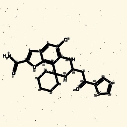 NC(=O)c1cc2cc(Cl)c3c(c2o1)C1(CCCCC1)NC(CC(=O)c1cccs1)N3